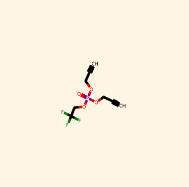 C#CCOP(=O)(OCC#C)OCC(F)(F)F